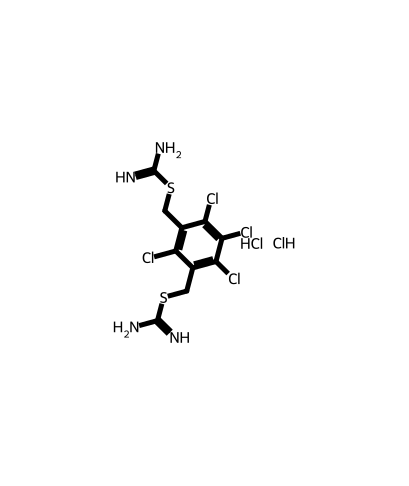 Cl.Cl.N=C(N)SCc1c(Cl)c(Cl)c(Cl)c(CSC(=N)N)c1Cl